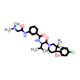 CC(C)[C@@H](NC(=O)c1cccc(NC(=O)CN(C)C)c1)C(=O)N1CC[C@](O)(c2ccc(Cl)cc2)C(C)(C)C1